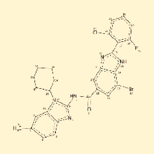 Cc1ccc2nc(NC(=O)c3cc(Br)c4[nH]c(-c5c(F)cccc5Cl)nc4c3)n(C3CCCCC3)c2c1